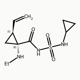 C=C[C@@H]1C[C@]1(NCC)C(=O)NS(=O)(=O)NC1CC1